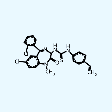 C=Cc1ccc(NC(=S)NC2N=C(c3ccccc3Cl)c3cc(Cl)ccc3N(C)C2=O)cc1